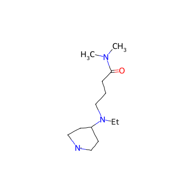 CCN(CCCC(=O)N(C)C)C1CC[N]CC1